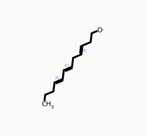 CCC/C=C/C=C/C/C=C/CC[O]